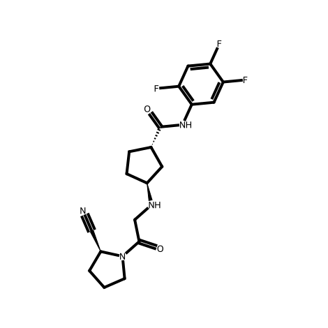 N#C[C@@H]1CCCN1C(=O)CN[C@H]1CC[C@H](C(=O)Nc2cc(F)c(F)cc2F)C1